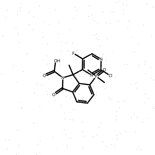 CC1(c2nc(Cl)ncc2F)c2c(cccc2P(C)(C)=O)C(=O)N1C(=O)O